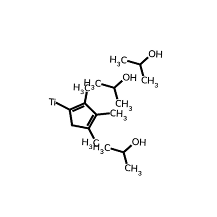 CC(C)O.CC(C)O.CC(C)O.CC1=C(C)C(C)=[C]([Ti])C1